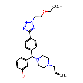 C=CCN1CCN(C(c2ccc(-c3nnn(CCOCC(=O)O)n3)cc2)c2cccc(O)c2)CC1